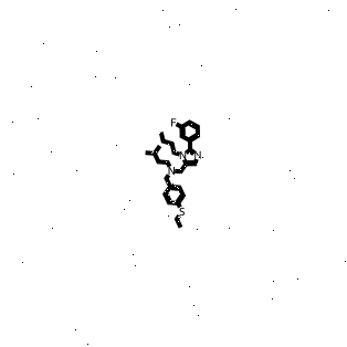 CCCCn1c(CN(CCC(C)C)Cc2ccc(SCC)cc2)cnc1-c1cccc(F)c1